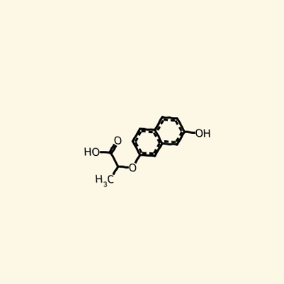 CC(Oc1ccc2ccc(O)cc2c1)C(=O)O